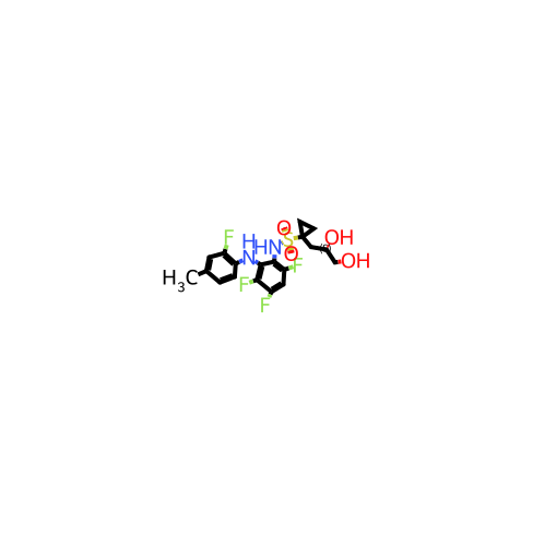 Cc1ccc(Nc2c(F)c(F)cc(F)c2NS(=O)(=O)C2(C[C@H](O)CO)CC2)c(F)c1